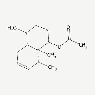 CC(=O)OC1CCC(C)C2CC=CC(C)C12C